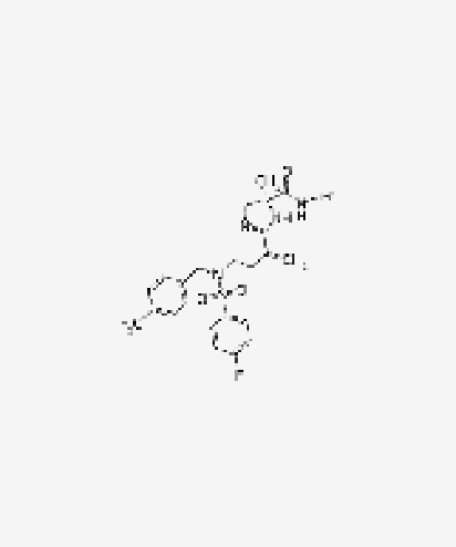 C=C(CCN(Cc1ccc(C(F)(F)F)cc1)S(=O)(=O)c1ccc(F)cc1)C1=NC[C@@](C)(C(=O)NC(C)C)N1